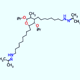 CC(C)=NNCCCCCCCCCC1O[C@H](OC(C)C)C(C)C(CCCCCCCCNN=C(C)C)[C@@H]1OC(C)C